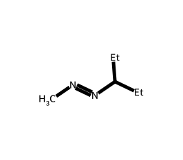 [CH2]CC(CC)/N=N/C